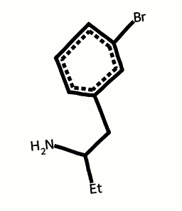 CCC(N)Cc1cccc(Br)c1